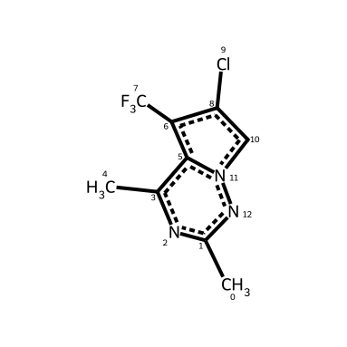 Cc1nc(C)c2c(C(F)(F)F)c(Cl)cn2n1